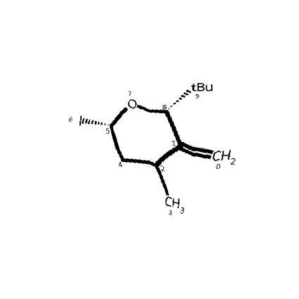 C=C1C(C)C[C@H](I)O[C@@H]1C(C)(C)C